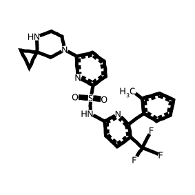 Cc1ccccc1-c1nc(NS(=O)(=O)c2cccc(N3CCNC4(CC4)C3)n2)ccc1C(F)(F)F